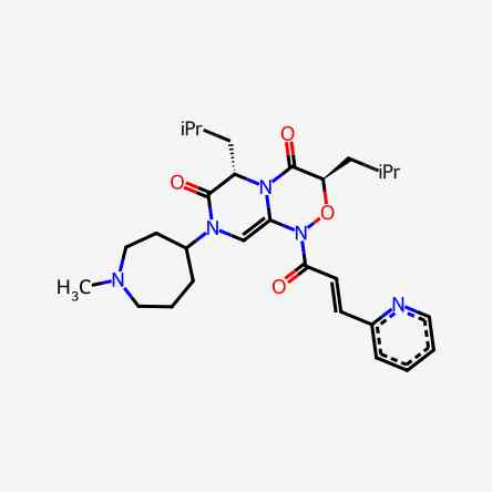 CC(C)C[C@H]1ON(C(=O)/C=C/c2ccccn2)C2=CN(C3CCCN(C)CC3)C(=O)[C@H](CC(C)C)N2C1=O